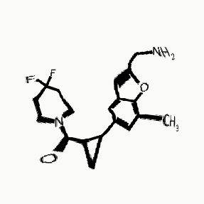 Cc1cc(C2CC2C(=O)N2CCC(F)(F)CC2)cc2cc(CN)oc12